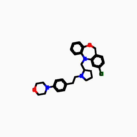 Clc1ccc2c(c1)N(CC1CCCN1CCc1ccc(N3CCOCC3)cc1)c1ccccc1OC2